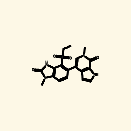 CCS(=O)(=O)c1c(-c2cn(C)c(=O)c3[nH]ccc23)ccc2c1[nH]c(=O)n2C